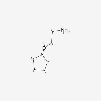 NCCOC1CCCC1